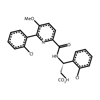 COc1ccc(C(=O)N[C@@H](CC(=O)O)c2ccccc2Cl)nc1-c1ccccc1Cl